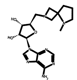 CN1CCCC12CN(C[C@H]1O[C@@H](n3cnc4c(N)ncnc43)[C@H](O)[C@@H]1O)C2